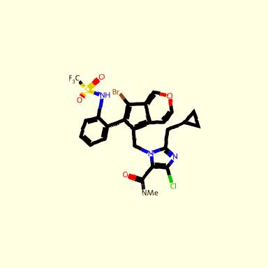 CNC(=O)c1c(Cl)nc(CC2CC2)n1Cc1c2ccocc-2c(Br)c1-c1ccccc1NS(=O)(=O)C(F)(F)F